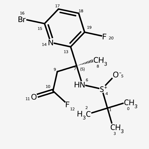 CC(C)(C)[S+]([O-])N[C@@](C)(CC(=O)F)c1nc(Br)ccc1F